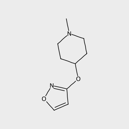 CN1CCC(Oc2ccon2)CC1